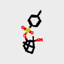 Cc1ccc(S(=O)(=O)OC2CC3CC(C3(C)C)[C@@]2(C)O)cc1